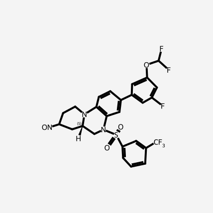 O=NC1CCN2c3ccc(-c4cc(F)cc(OC(F)F)c4)cc3N(S(=O)(=O)c3cccc(C(F)(F)F)c3)C[C@@H]2C1